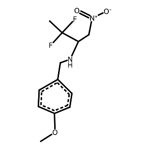 COc1ccc(CNC(C[N+](=O)[O-])C(C)(F)F)cc1